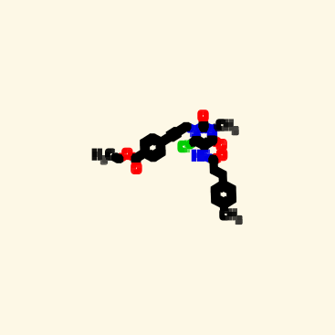 CCOC(=O)c1ccc(C#CCn2c(Cl)c(NC(=O)CCc3ccc(C)cc3)c(=O)n(C)c2=O)cc1